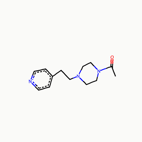 CC(=O)N1CCN(CCc2ccncc2)CC1